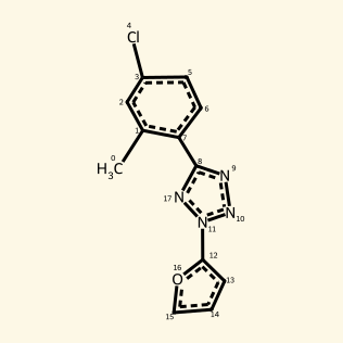 Cc1cc(Cl)ccc1-c1nnn(-c2ccco2)n1